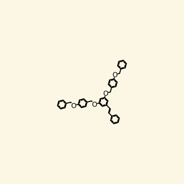 C(=Cc1cc(OCc2ccc(OCc3ccccc3)cc2)cc(OCc2ccc(OCc3ccccc3)cc2)c1)c1ccccc1